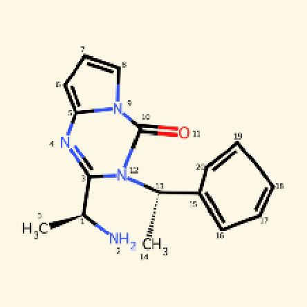 C[C@H](N)c1nc2cccn2c(=O)n1[C@@H](C)c1ccccc1